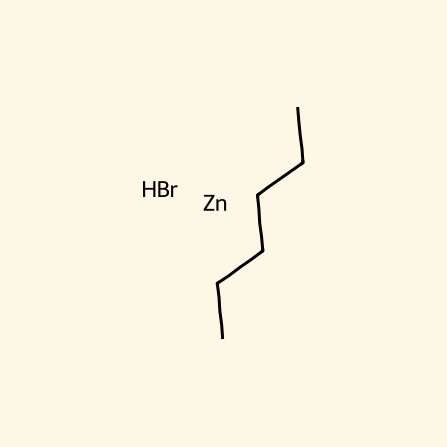 Br.CCCCCC.[Zn]